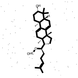 CC(C)=CCC[C@@H](OC=O)[C@H]1CC[C@@]2(C)C3=CC[C@H]4C(C)(C)[C@@H](O)CC[C@]4(C)C3=CC[C@]12C